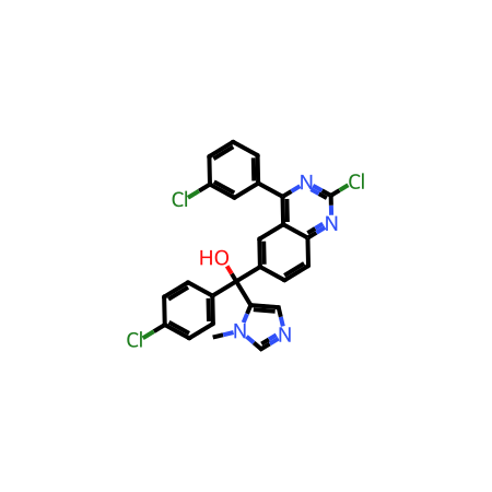 Cn1cncc1C(O)(c1ccc(Cl)cc1)c1ccc2nc(Cl)nc(-c3cccc(Cl)c3)c2c1